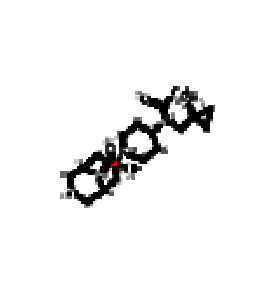 CC(=O)N(CC1(C)CC1)C1CCN(C2CC3COCC(C2)N3C(=O)O)CC1